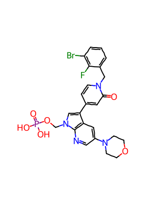 O=c1cc(-c2cn(COP(=O)(O)O)c3ncc(N4CCOCC4)cc23)ccn1Cc1cccc(Br)c1F